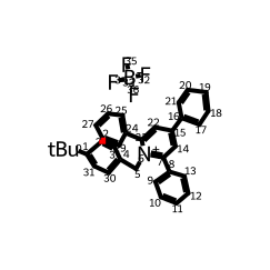 CC(C)(C)c1ccc(C[n+]2c(-c3ccccc3)cc(-c3ccccc3)cc2-c2ccccc2)cc1.F[B-](F)(F)F